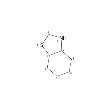 C1CCC2SCNC2C1